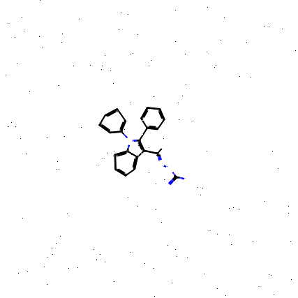 CC(=NNC(=N)N)c1c(-c2ccccc2)n(-c2ccccc2)c2ccccc12